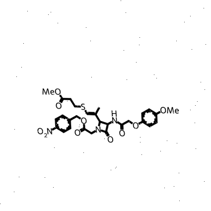 COC(=O)CCSC=C(C)C1C(NC(=O)COc2ccc(OC)cc2)C(=O)N1CC(=O)OCc1ccc([N+](=O)[O-])cc1